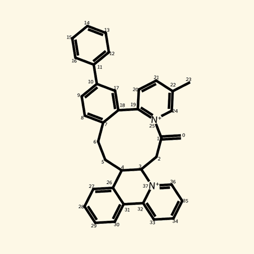 C=C1CC2C(CCc3ccc(-c4ccccc4)cc3-c3ccc(C)c[n+]31)c1ccccc1-c1cccc[n+]12